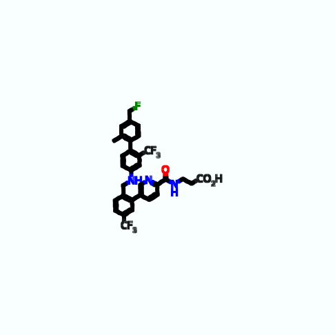 Cc1cc(CF)ccc1-c1ccc(NCc2ccc(C(F)(F)F)cc2-c2ccc(C(=O)NCCC(=O)O)nc2)cc1C(F)(F)F